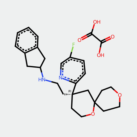 Fc1ccc([C@]2(CCNC3Cc4ccccc4C3)CCOC3(CCOCC3)C2)nc1.O=C(O)C(=O)O